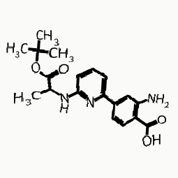 CC(Nc1cccc(-c2ccc(C(=O)O)c(N)c2)n1)C(=O)OC(C)(C)C